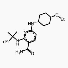 CCCC(C)(C)Nc1nc(N[C@H]2CC[C@H](OCC)CC2)ncc1C(N)=O